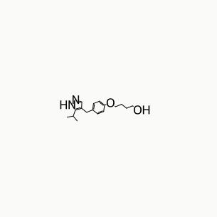 CC(C)c1[nH]ncc1Cc1ccc(OCCCCO)cc1